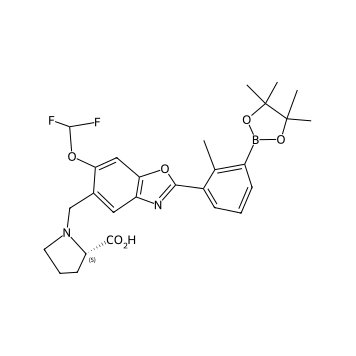 Cc1c(B2OC(C)(C)C(C)(C)O2)cccc1-c1nc2cc(CN3CCC[C@H]3C(=O)O)c(OC(F)F)cc2o1